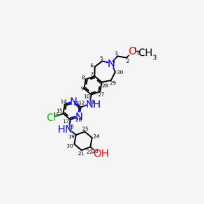 COCCN1CCc2ccc(Nc3ncc(Cl)c(NC4CCC(O)CC4)n3)cc2CC1